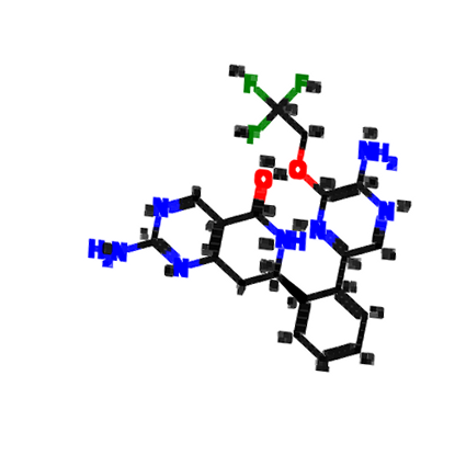 Nc1ncc2c(n1)C[C@H](c1ccccc1-c1cnc(N)c(OCC(F)(F)F)n1)NC2=O